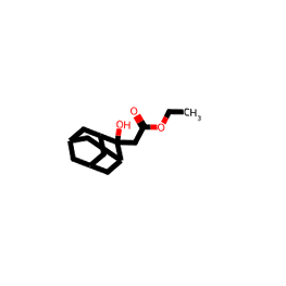 CCOC(=O)CC1(O)C2CC3CC(C2)CC1C3